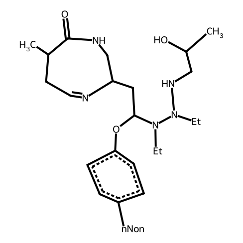 CCCCCCCCCc1ccc(OC(CC2CNC(=O)C(C)C/C=N\2)N(CC)N(CC)NCC(C)O)cc1